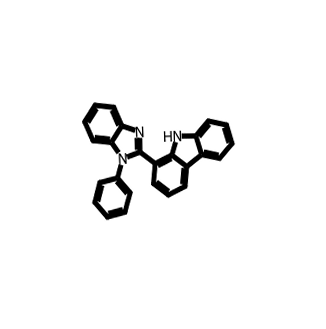 c1ccc(-n2c(-c3cccc4c3[nH]c3ccccc34)nc3ccccc32)cc1